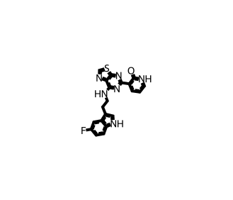 O=c1[nH]cccc1-c1nc(NCCc2c[nH]c3ccc(F)cc23)c2ncsc2n1